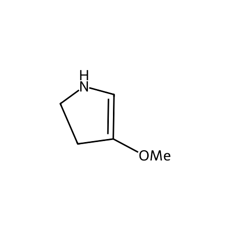 COC1=CNCC1